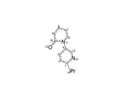 CC(C)c1ccc(-n2ccccc2=O)cn1